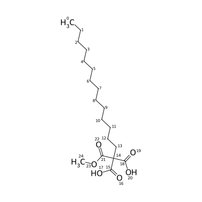 CCCCCCCCCCCCCCC(C(=O)O)(C(=O)O)C(=O)OC